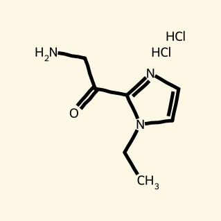 CCn1ccnc1C(=O)CN.Cl.Cl